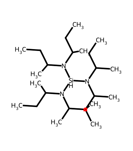 CCC(C)N(C(C)CC)[SiH](N(C(C)CC)C(C)CC)N(C(C)CC)C(C)CC